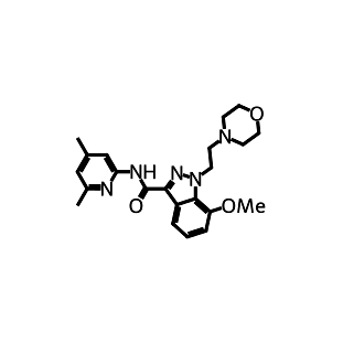 COc1cccc2c(C(=O)Nc3cc(C)cc(C)n3)nn(CCN3CCOCC3)c12